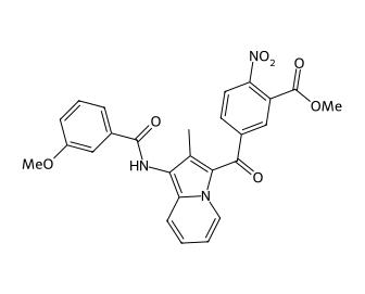 COC(=O)c1cc(C(=O)c2c(C)c(NC(=O)c3cccc(OC)c3)c3ccccn23)ccc1[N+](=O)[O-]